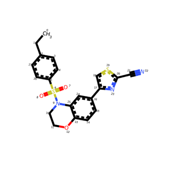 CCc1ccc(S(=O)(=O)N2CCOc3ccc(-c4csc(C#N)n4)cc32)cc1